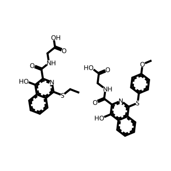 CCSc1nc(C(=O)NCC(=O)O)c(O)c2ccccc12.COc1ccc(Sc2nc(C(=O)NCC(=O)O)c(O)c3ccccc23)cc1